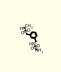 CNS(=O)(=O)Cc1cccc(CNS(N)(=O)=O)c1